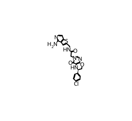 Nc1nccc2sc(CNC(=O)Cn3cnc4c(c3=O)N[C@H](c3ccc(Cl)cc3)CO4)cc12